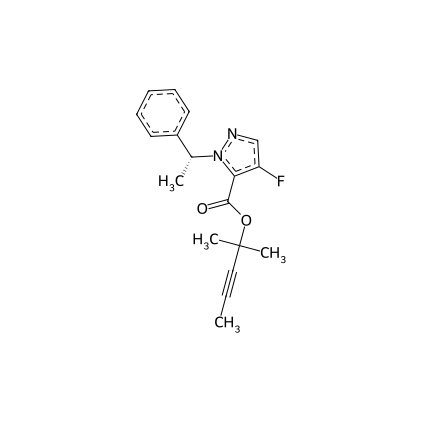 CC#CC(C)(C)OC(=O)c1c(F)cnn1[C@H](C)c1ccccc1